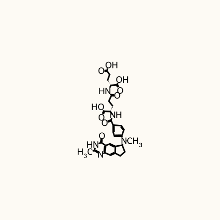 Cc1nc2cc3c(cc2c(=O)[nH]1)C(N(C)c1ccc(C(=O)N[C@@H](CCC(=O)N[C@H](CCC(=O)O)C(=O)O)C(=O)O)cc1)CC3